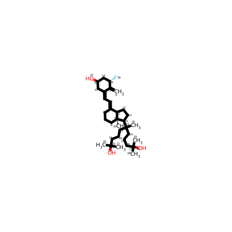 C=C1/C(=C\C=C2/CCC[C@@]3(C)C2CCC3C(C)(CCCC(C)(C)O)CCCC(C)(C)O)CC(O)C[C@@H]1F